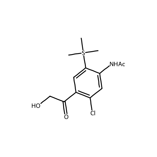 CC(=O)Nc1cc(Cl)c(C(=O)CO)cc1S(C)(C)C